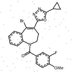 COc1ccc(C(=O)N2CCC(c3nnc(C4CC4)o3)=C(Br)c3ccccc32)cc1F